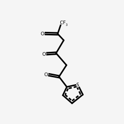 O=C(CC(=O)c1cccs1)CC(=O)C(F)(F)F